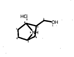 Cl.OCC1CC2CCC1N2